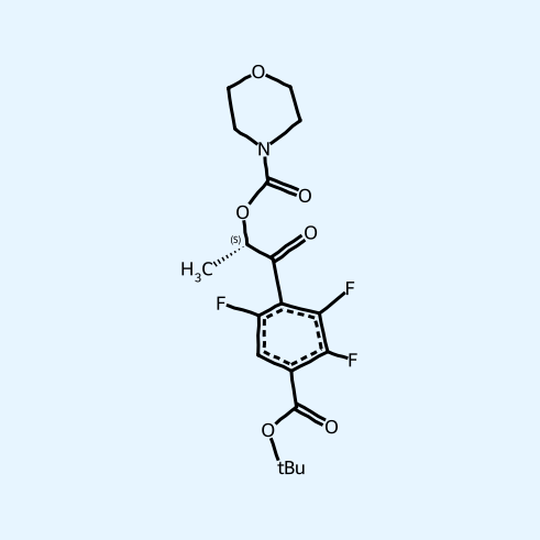 C[C@H](OC(=O)N1CCOCC1)C(=O)c1c(F)cc(C(=O)OC(C)(C)C)c(F)c1F